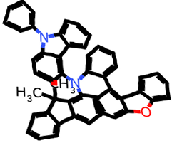 CC1(C)c2ccccc2-c2cccc(N(c3ccccc3-c3cccc4oc5ccccc5c34)c3cccc4c3c3ccccc3n4-c3ccccc3)c21